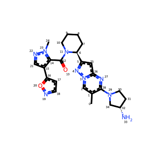 Cc1cn2nc([C@@H]3CCCCN3C(=O)c3c(-c4ccno4)cnn3C)cc2nc1N1CC[C@H](N)C1